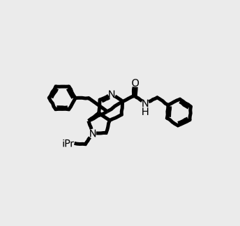 CC(C)CN1CC2CC3(C(=O)NCc4ccccc4)N=CC2C1C3Cc1ccccc1